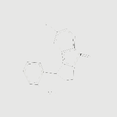 COc1ccccc1C1CCn2c(=O)c3ccc(Br)cc3n21